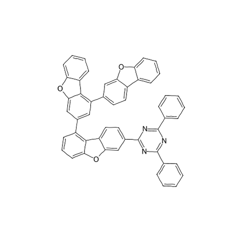 c1ccc(-c2nc(-c3ccccc3)nc(-c3ccc4c(c3)oc3cccc(-c5cc(-c6ccc7c(c6)oc6ccccc67)c6c(c5)oc5ccccc56)c34)n2)cc1